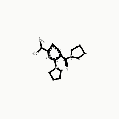 CC(C)c1ccc(C(=O)N2CCCC2)c(N2CCCC2)n1